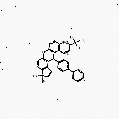 CCC(C)(C)C(O)/C=C\c1c(C)ccc2c1C(c1ccc(-c3ccccc3)cc1)c1c(ccc3c1C=CC3(O)C(C)C)O2